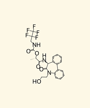 C[C@H](OC(=O)NCC(F)(F)C(F)(F)F)C(=O)N[C@@H]1C(=O)N(CCO)c2ccccc2-c2ccccc21